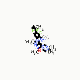 COc1nc2nc(C)nc(N[C@H](C)c3cccc(C(F)(F)C4(C)CC4)c3F)c2cc1N1CCN(C(C)C)CC1